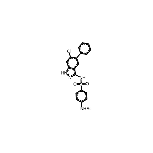 CC(=O)Nc1ccc(S(=O)(=O)Nc2n[nH]c3cc(Cl)c(-c4ccccc4)cc23)cc1